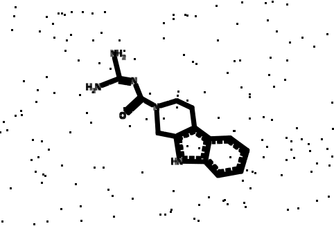 NC(N)=NC(=O)N1CCc2c([nH]c3ccccc23)C1